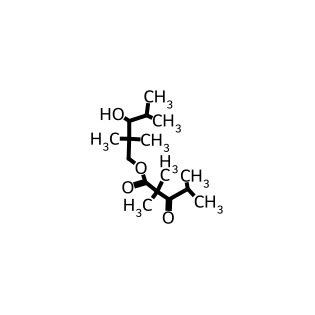 CC(C)C(=O)C(C)(C)C(=O)OCC(C)(C)C(O)C(C)C